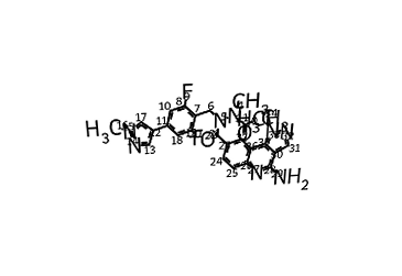 CC(=O)N(C)N(Cc1c(F)cc(-c2cnn(C)c2)cc1F)C(=O)c1ccc2nc(N)c3cnn(C)c3c2c1